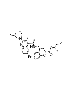 CCCC(F)OC(=O)CCC(CNC(=O)c1c(C)c(N2CCCC(CC)C2)nc2ccc(Br)cc12)c1ccccc1Cl